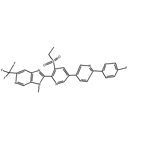 CCS(=O)(=O)c1cc(-c2ccc(-c3ccc(F)cc3)nc2)cnc1-c1nc2cc(C(F)(F)F)ncc2n1C